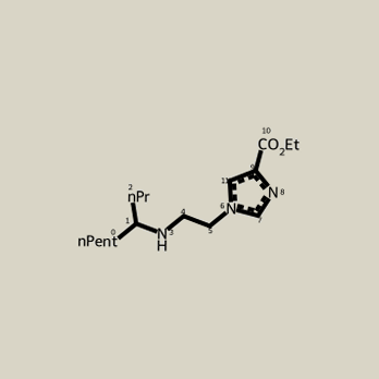 CCCCCC(CCC)NCCn1cnc(C(=O)OCC)c1